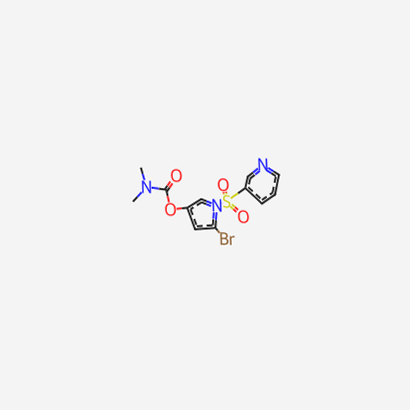 CN(C)C(=O)Oc1cc(Br)n(S(=O)(=O)c2cccnc2)c1